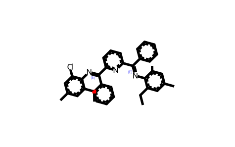 CCc1cc(C)cc(C)c1/N=C(\c1ccccc1)c1cccc(/C(=N/c2c(Cl)cc(C)cc2CC)c2ccccc2)n1